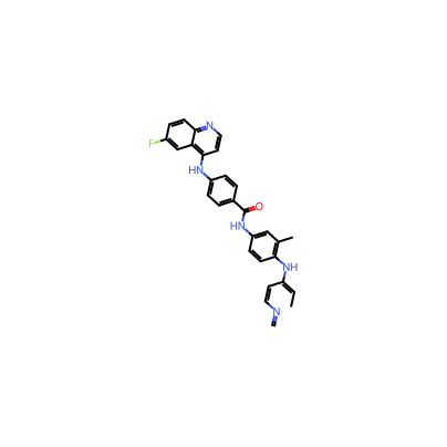 C=N/C=C\C(=C/C)Nc1ccc(NC(=O)c2ccc(Nc3ccnc4ccc(F)cc34)cc2)cc1C